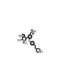 CCS(=O)(=O)Cc1ccc(Oc2ccc(CCC3CCNCC3)cc2)c(C2=CN(C)C(O)c3[nH]ccc32)c1